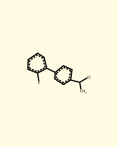 CC(Cl)c1ccc(-c2ccccc2F)cc1